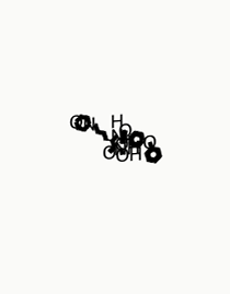 O=C(NO)[C@@H](CCCCN1CCOCC1)NS(=O)(=O)c1ccc(Oc2ccccc2)cc1